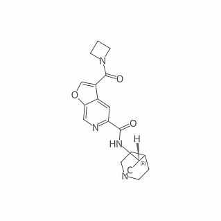 O=C(N[C@H]1CN2CCC1CC2)c1cc2c(C(=O)N3CCC3)coc2cn1